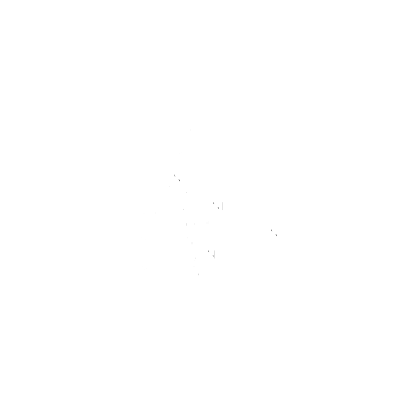 Cc1ccc(S(=O)(=O)NC(C(=O)N[C@@H](Cc2ccccc2)C(N)=O)C2CCNCC2)c2ccccc12